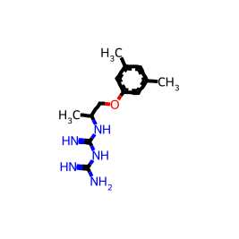 Cc1cc(C)cc(OCC(C)NC(=N)NC(=N)N)c1